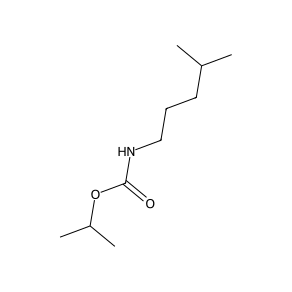 CC(C)CCCNC(=O)OC(C)C